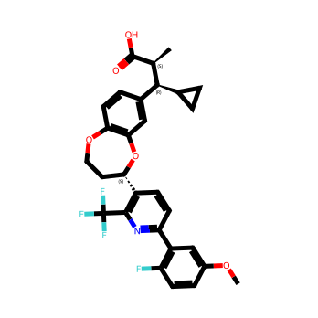 COc1ccc(F)c(-c2ccc([C@@H]3CCOc4ccc([C@H](C5CC5)[C@H](C)C(=O)O)cc4O3)c(C(F)(F)F)n2)c1